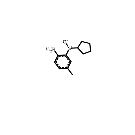 Cc1ccc(N)c([S+]([O-])C2CCCC2)c1